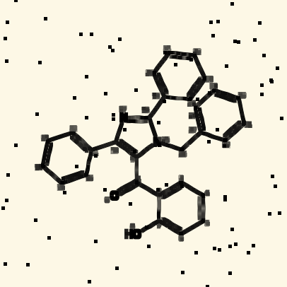 O=C(c1ccccc1O)c1c(-c2ccccc2)nc(-c2ccccc2)n1Cc1ccccc1